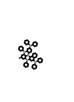 Cc1cc2c3c(c1)N(c1ccccc1)c1cc(N(c4ccccc4)c4ccccc4)c4ccccc4c1B3c1ccc(N(c3ccccc3)c3ccccc3)cc1N2c1ccccc1